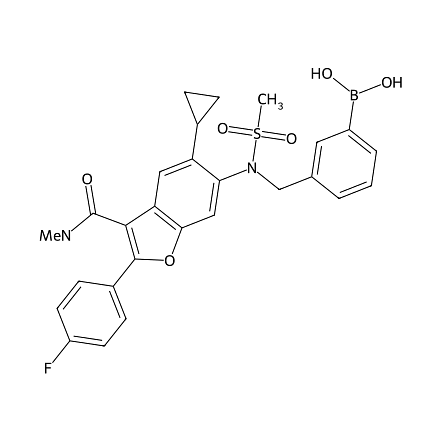 CNC(=O)c1c(-c2ccc(F)cc2)oc2cc(N(Cc3cccc(B(O)O)c3)S(C)(=O)=O)c(C3CC3)cc12